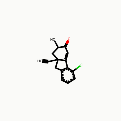 C#CC12Cc3cccc(Cl)c3C1=CC(=O)C(C#N)C2